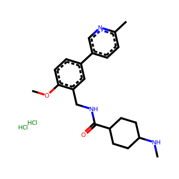 CNC1CCC(C(=O)NCc2cc(-c3ccc(C)nc3)ccc2OC)CC1.Cl.Cl